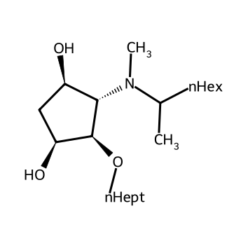 CCCCCCCO[C@@H]1[C@@H](N(C)C(C)CCCCCC)[C@H](O)C[C@@H]1O